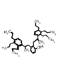 CCCc1ccc(C(C)Cc2cccc(O)c2CC(C)c2ccc(CCC)c(CCC)c2CCC)c(CCC)c1CCC